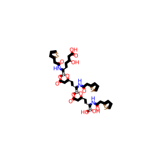 O=C(O)C[C@@H](O)CC[C@H](NC(=O)Cc1cccs1)B1OC(=O)C[C@H](CC[C@H](NC(=O)Cc2cccs2)B2OC(=O)C[C@H](CC[C@H](NC(=O)Cc3cccs3)B(O)O)O2)O1